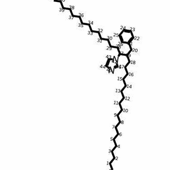 CCCCCCCCCCCCCCCCCCCC(Cc1ccccc1)C(CCCCCCCCCCCCCC)n1ccnc1